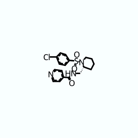 O=C(NC[C@H]1CCCCN1S(=O)(=O)c1ccc(Cl)cc1)c1ccncc1